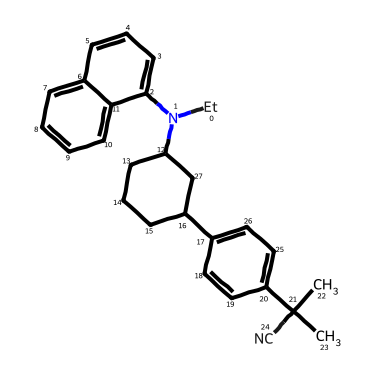 CCN(c1cccc2ccccc12)C1CCCC(c2ccc(C(C)(C)C#N)cc2)C1